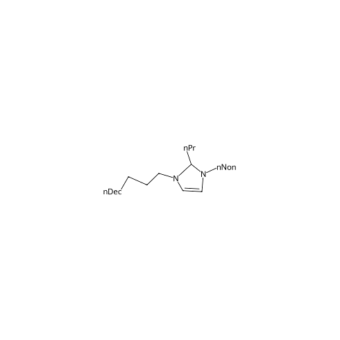 CCCCCCCCCCCCCN1C=CN(CCCCCCCCC)C1CCC